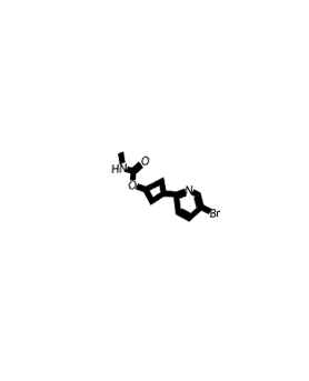 CNC(=O)OC1CC(c2ccc(Br)cn2)C1